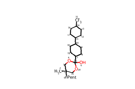 CCCCCC1(C)COC(O)(C2CCC(C3CCC(C(F)(F)F)CC3)CC2)OC1